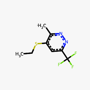 [CH2]c1nnc(C(F)(F)F)cc1SCC